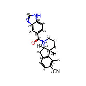 Cc1c(C#N)ccc2c1[C@H]1CCCN(C(=O)c3ccc4[nH]cnc4c3)[C@H]1C2